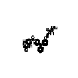 CC(C)(C)OC(=O)NCCOc1cccc([C@@H](c2ccccc2)C2CCN(C(=O)N3CC[C@@H]4OCC(=O)N[C@@H]4C3)CC2)c1